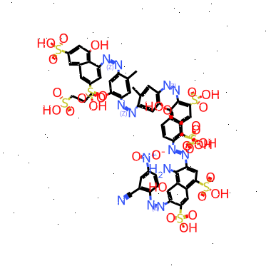 Cc1cc(/N=N\c2c(S(=O)(=O)O)cc3c(S(=O)(=O)O)c(N=Nc4cc(S(=O)(=O)O)c5cc(S(=O)(=O)O)c(/N=N\c6ccc([N+](=O)[O-])cc6C#N)c(O)c5c4N)ccc3c2O)c(OCCCS(=O)(=O)O)cc1/N=N\c1cc(C)c(/N=N\c2cc(S(=O)(=O)O)cc3cc(S(=O)(=O)O)cc(O)c23)cc1OCCCS(=O)(=O)O